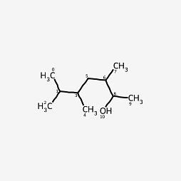 CC(C)C(C)CC(C)C(C)O